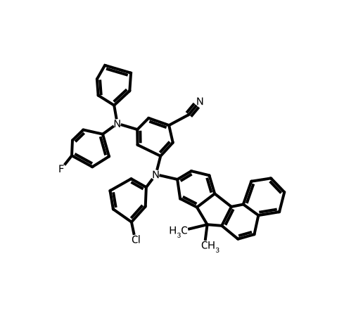 CC1(C)c2cc(N(c3cccc(Cl)c3)c3cc(C#N)cc(N(c4ccccc4)c4ccc(F)cc4)c3)ccc2-c2c1ccc1ccccc21